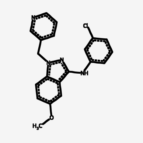 COc1ccc2c(c1)c(Nc1cccc(Cl)c1)nn2Cc1cccnc1